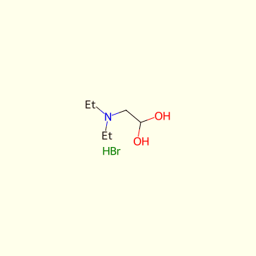 Br.CCN(CC)CC(O)O